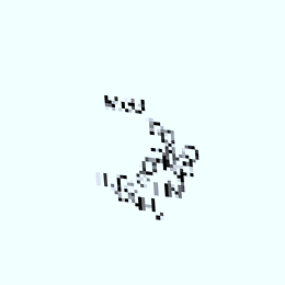 COCCCOc1cccc(-n2c(-c3ccccc3)c(C(=O)N3CCNCC3)n(Cc3cccc(OCC(C)CC(N)=O)c3)c2=O)c1